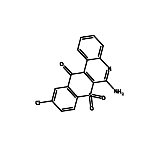 Nc1nc2ccccc2c2c1S(=O)(=O)c1ccc(Cl)cc1C2=O